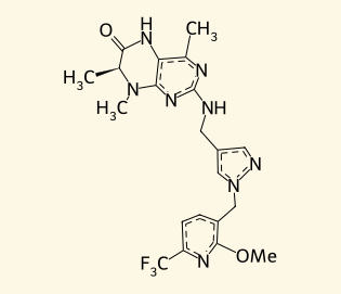 COc1nc(C(F)(F)F)ccc1Cn1cc(CNc2nc(C)c3c(n2)N(C)[C@@H](C)C(=O)N3)cn1